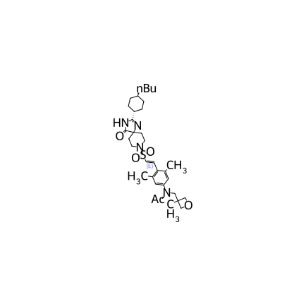 CCCC[C@H]1CC[C@H](C2=NC3(CCN(S(=O)(=O)/C=C/c4c(C)cc(N(CC5(C)COC5)C(C)=O)cc4C)CC3)C(=O)N2)CC1